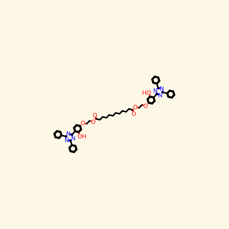 O=C(CCCCCCCCCCC(=O)OCCOc1ccc(-c2nc(-c3ccccc3)nc(-c3ccccc3)n2)c(O)c1)OCCOc1ccc(-c2nc(-c3ccccc3)nc(-c3ccccc3)n2)c(O)c1